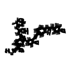 C[C@H]1COCCN1C[C@@H](O)Cn1nc(-c2ccc(Cl)c(C#Cc3ccc(CNCc4ccc(Cl)cc4)cc3)c2)c2c1CCN(C(N)=O)C2